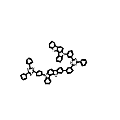 c1ccc(-c2nc(-c3ccccc3)nc(-c3ccc(-n4c5ccccc5c5c6oc7cc(-c8cccc(-c9nc(-c%10ccccc%10)nc(-c%10cccc(-n%11c%12ccccc%12c%12c%13oc%14ccccc%14c%13ccc%12%11)c%10)n9)c8)ccc7c6ccc54)cc3)n2)cc1